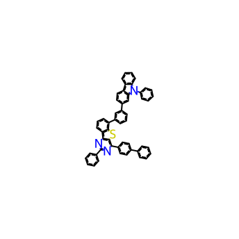 c1ccc(-c2ccc(-c3nc(-c4ccccc4)nc4c3sc3c(-c5cccc(-c6ccc7c8ccccc8n(-c8ccccc8)c7c6)c5)cccc34)cc2)cc1